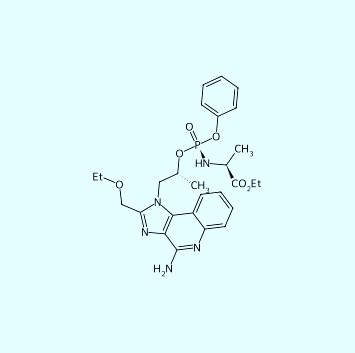 CCOCc1nc2c(N)nc3ccccc3c2n1C[C@@H](C)O[P@@](=O)(N[C@@H](C)C(=O)OCC)Oc1ccccc1